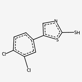 Sc1ncc(-c2ccc(Cl)c(Cl)c2)s1